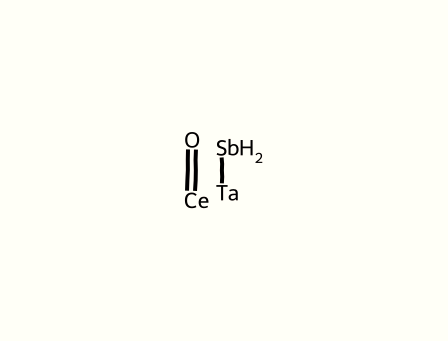 [O]=[Ce].[SbH2][Ta]